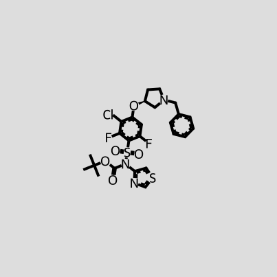 CC(C)(C)OC(=O)N(c1cscn1)S(=O)(=O)c1c(F)cc(O[C@H]2CCN(Cc3ccccc3)C2)c(Cl)c1F